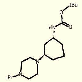 CC(C)N1CCN([C@@H]2CCC[C@@H](NC(=O)OC(C)(C)C)C2)CC1